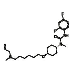 C=CCN(C)CCCCCCO[C@H]1CC[C@H](N(C)C(=O)Nc2ccc(F)cc2F)CC1